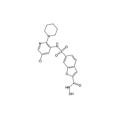 O=C(NO)c1cc2ccc(S(=O)(=O)Nc3cc(Cl)cnc3N3CCCCC3)cc2o1